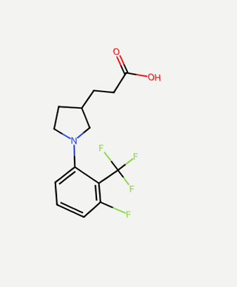 O=C(O)CCC1CCN(c2cccc(F)c2C(F)(F)F)C1